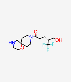 O=C(CC[C@H](CO)C(F)(F)F)N1CCC2(CC1)CNCCO2